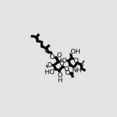 CC[C@H](C)[C@H]1OC(CO)C(O)C(OC2OC(C(=O)OC/C=C(\C)CCC=C(C)C)C(OC)C(O)C2O)C1NC(C)=O